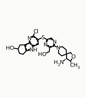 C[C@@H]1OCC2(CCN(c3ncc(Sc4cc5[nH]c6c(c5nc4Cl)CC(O)CC6)nc3CO)CC2)[C@@H]1N